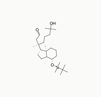 CC(C)(O)CCC[C@](C)(CC=O)[C@H]1CCC2[C@@H](O[Si](C)(C)C(C)(C)C)CCC[C@@]21C